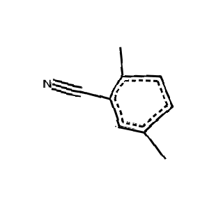 Cc1[c]c(C#N)c(C)cc1